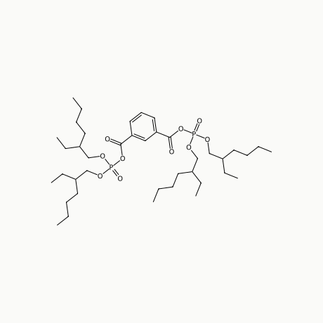 CCCCC(CC)COP(=O)(OCC(CC)CCCC)OC(=O)c1cccc(C(=O)OP(=O)(OCC(CC)CCCC)OCC(CC)CCCC)c1